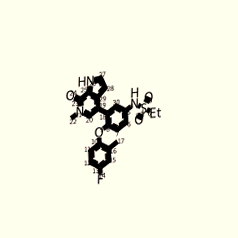 CCS(=O)(=O)Nc1ccc(Oc2ccc(F)cc2C)c(-c2cn(C)c(=O)c3[nH]ccc23)c1